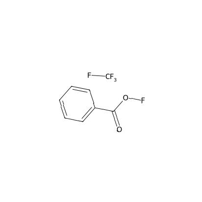 FC(F)(F)F.O=C(OF)c1ccccc1